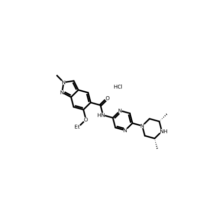 CCOc1cc2nn(C)cc2cc1C(=O)Nc1cnc(N2C[C@@H](C)N[C@@H](C)C2)cn1.Cl